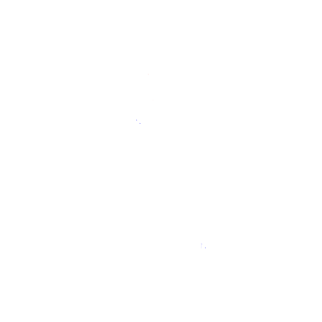 CCOC(=O)C(C(=O)OCC)C(=S)NCCOc1ccc(/C=C/C(=O)N2CCCCC2)c(O)c1